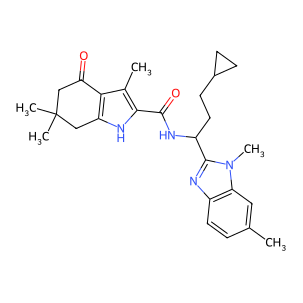 Cc1ccc2nc(C(CCC3CC3)NC(=O)c3[nH]c4c(c3C)C(=O)CC(C)(C)C4)n(C)c2c1